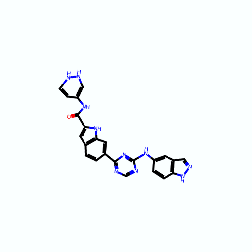 O=C(NC1=CNNC=C1)c1cc2ccc(-c3ncnc(Nc4ccc5[nH]ncc5c4)n3)cc2[nH]1